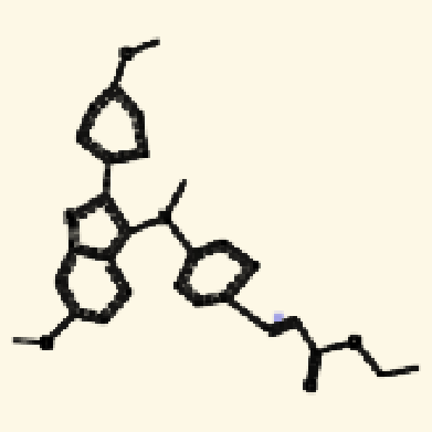 CCOC(=O)/C=C/c1ccc(N(C)c2c(-c3ccc(OC)cc3)sc3cc(OC)ccc23)cc1